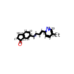 CCc1ccc(C=C/C=C/c2ccc3c(c2)C(=O)CC3)nc1